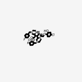 COC(=O)C(C1CN(Cc2ccc(F)cc2)CCN1)[C@@H](C(N)=O)C1CN(Cc2ccc(F)cc2)CCN1C(=O)COc1ccc(Cl)cc1O